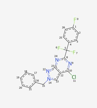 Fc1ccc(C(F)(F)c2nc(Cl)c3cn(Cc4ccccc4)nc3n2)cc1